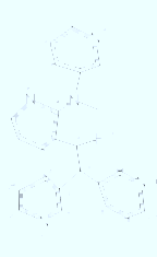 CN(c1cccnc1)c1ncccc1C(F)C(c1cccnc1)c1cccnc1